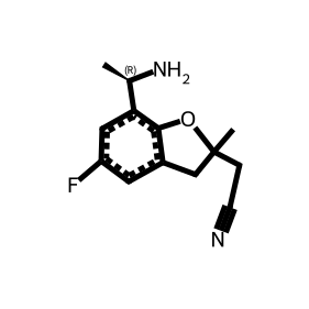 C[C@@H](N)c1cc(F)cc2c1OC(C)(CC#N)C2